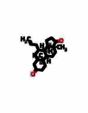 C=CCC1CC2CC(=O)CC[C@]2(C)[C@@H]2CC[C@]3(C)C(=O)CC[C@H]3[C@H]12